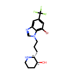 O[C@H]1CCCN[C@@H]1CCCn1cnc2cc(C(F)(F)F)cc(Br)c21